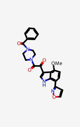 COc1ccc(-c2ccon2)c2[nH]cc(C(=O)C(=O)N3CCN(C(=O)c4ccccc4)CC3)c12